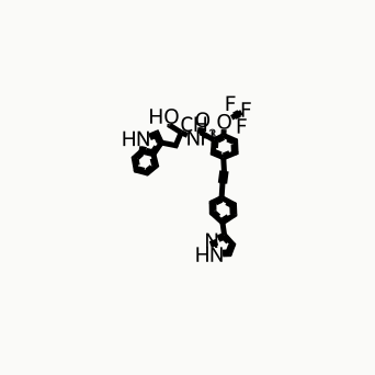 CC(CO)(Cc1c[nH]c2ccccc12)NC(=O)c1cc(C#Cc2ccc(-c3cc[nH]n3)cc2)ccc1OC(F)(F)F